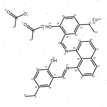 CC(=O)[O-].CC(=O)[O-].CCc1ccc(O)c(C=Nc2cccc3cccc(N=Cc4cc(CC)ccc4O)c23)c1.[Co+2]